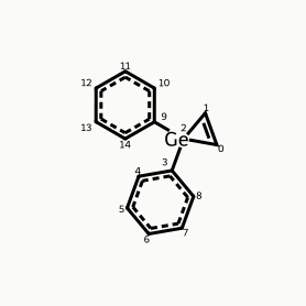 [CH]1=[CH][Ge]1([c]1ccccc1)[c]1ccccc1